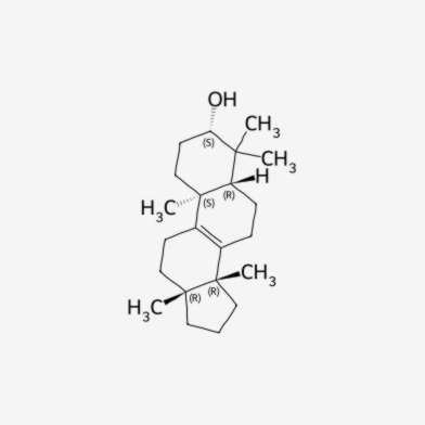 CC1(C)[C@@H](O)CC[C@]2(C)C3=C(CC[C@@H]12)[C@]1(C)CCC[C@]1(C)CC3